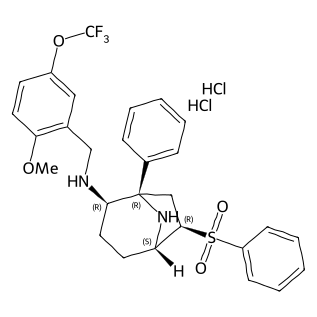 COc1ccc(OC(F)(F)F)cc1CN[C@@H]1CC[C@@H]2N[C@@]1(c1ccccc1)C[C@H]2S(=O)(=O)c1ccccc1.Cl.Cl